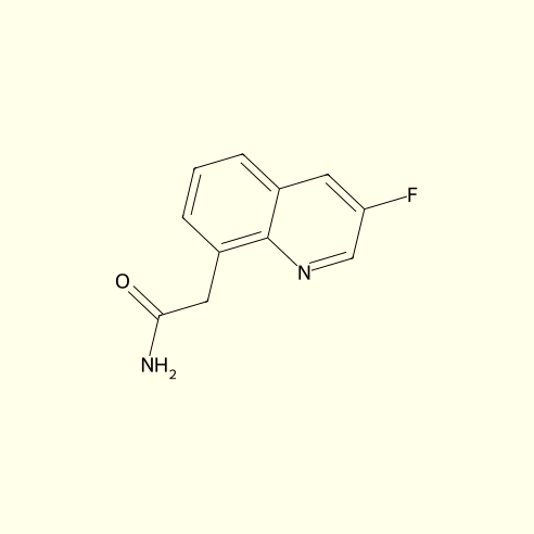 NC(=O)Cc1cccc2cc(F)cnc12